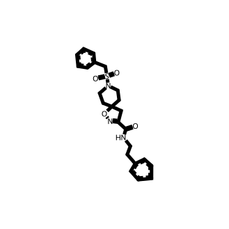 O=C(NCCc1ccccc1)C1=NOC2(CCN(S(=O)(=O)Cc3ccccc3)CC2)C1